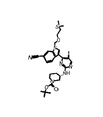 CC(C)(C)OC(=O)N1CCC[C@H](Nc2ncc(I)c(-c3cn(COCC[Si](C)(C)C)c4cc(C#N)ccc34)n2)C1